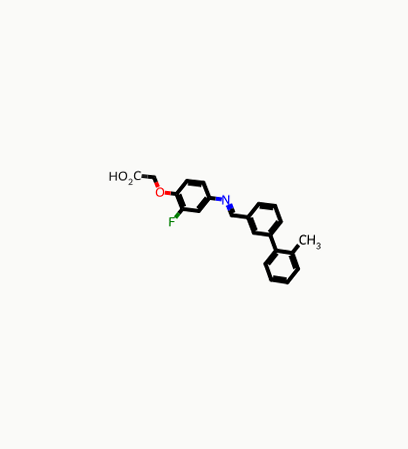 Cc1ccccc1-c1cccc(C=Nc2ccc(OCC(=O)O)c(F)c2)c1